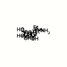 CCC(CC)(CC1OCC(O)CC1OC1OC(CO)C(O)C(O)C1O)SCCN